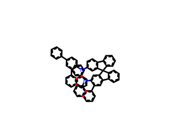 c1ccc(-c2ccc(N(c3ccccc3)c3ccc4c(c3)C3(c5ccccc5-4)c4ccccc4-c4cc(-c5ccccc5)c(N(c5ccccc5)c5ccccc5)cc43)c(-c3ccccc3)c2)cc1